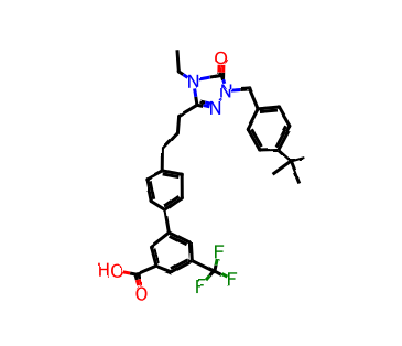 CCn1c(CCCc2ccc(-c3cc(C(=O)O)cc(C(F)(F)F)c3)cc2)nn(Cc2ccc(C(C)(C)C)cc2)c1=O